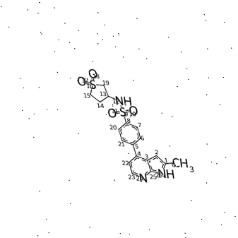 Cc1cc2c(-c3ccc(S(=O)(=O)NC4CCS(=O)(=O)C4)cc3)ccnc2[nH]1